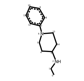 CCNC1CCN(c2ccccc2)CC1